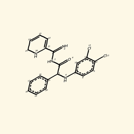 N=C(NC(=O)C(Nc1ccc(Cl)c(Cl)c1)c1ccccc1)C1=CC=CCN1